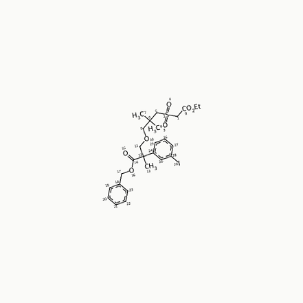 CCOC(=O)CS(=O)(=O)CC(C)(C)COCC(C)(C(=O)OCc1ccccc1)c1cccc(I)c1